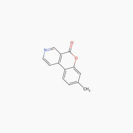 Cc1ccc2c(c1)oc(=O)c1cnccc12